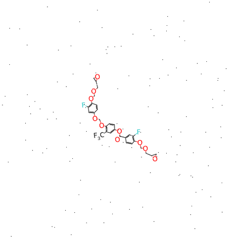 O=C(Oc1ccc(OCOc2ccc(OCOCC3CO3)c(F)c2)c(C(F)(F)F)c1)c1ccc(OCOCC2CO2)c(F)c1